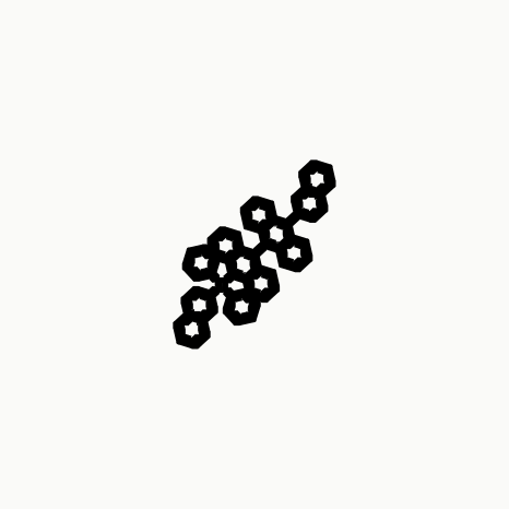 c1ccc([Si](c2ccccc2)(c2ccc3ccccc3c2)c2c3ccccc3c(-c3c4ccccc4c(-c4ccc5ccccc5c4)c4ccccc34)c3ccccc23)cc1